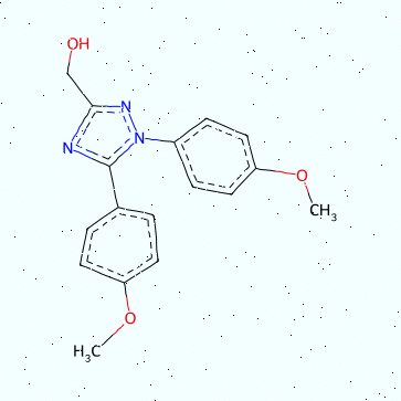 COc1ccc(-c2nc(CO)nn2-c2ccc(OC)cc2)cc1